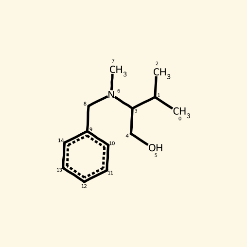 CC(C)C(CO)N(C)Cc1ccccc1